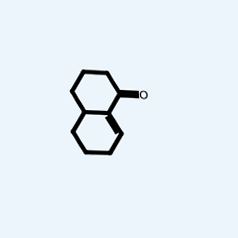 O=C1CCCC2CCCC=C12